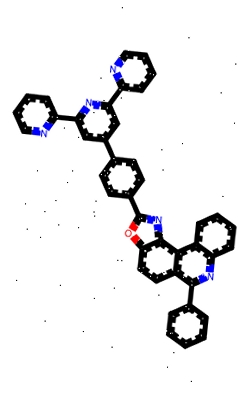 c1ccc(-c2nc3ccccc3c3c2ccc2oc(-c4ccc(-c5cc(-c6ccccn6)nc(-c6ccccn6)c5)cc4)nc23)cc1